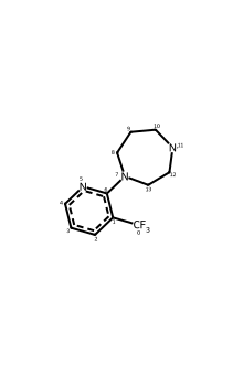 FC(F)(F)c1cccnc1N1CCC[N]CC1